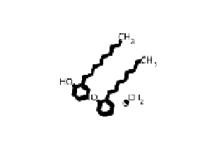 C=O.CCCCCCCCCc1ccccc1O.CCCCCCCCc1ccccc1O